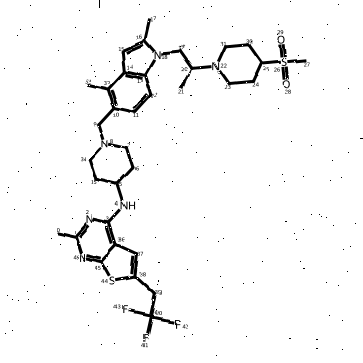 Cc1nc(NC2CCN(Cc3ccc4c(cc(C)n4C[C@H](C)N4CCC(S(C)(=O)=O)CC4)c3C)CC2)c2cc(CC(F)(F)F)sc2n1